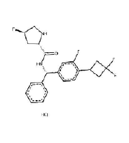 Cl.O=C(N[C@@H](c1ccccc1)c1ccc(C2CC(F)(F)C2)c(F)c1)[C@@H]1C[C@@H](F)CN1